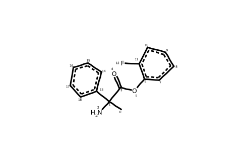 CC(N)(C(=O)Oc1ccccc1F)c1ccccc1